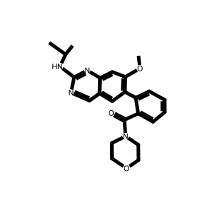 COc1cc2nc(NC(C)C)ncc2cc1-c1ccccc1C(=O)N1CCOCC1